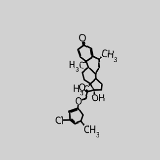 CC1C=C(Cl)C=C(OCC(=O)[C@@]2(O)CCC3C4C[C@H](C)C5=CC(=O)C=CC5(C)C4CCC32C)C1